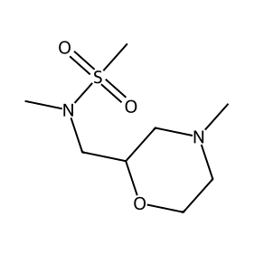 CN1CCOC(CN(C)S(C)(=O)=O)C1